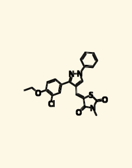 CCOc1ccc(-c2nn(-c3ccccc3)cc2C=C2SC(=O)N(C)C2=O)cc1Cl